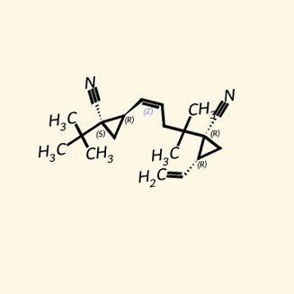 C=C[C@H]1C[C@]1(C#N)C(C)(C)C/C=C\[C@H]1C[C@@]1(C#N)C(C)(C)C